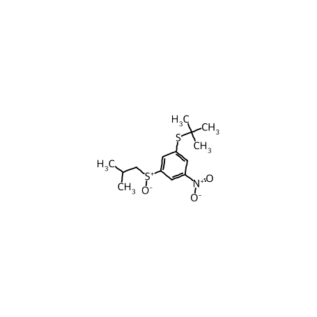 CC(C)C[S+]([O-])c1cc(SC(C)(C)C)cc([N+](=O)[O-])c1